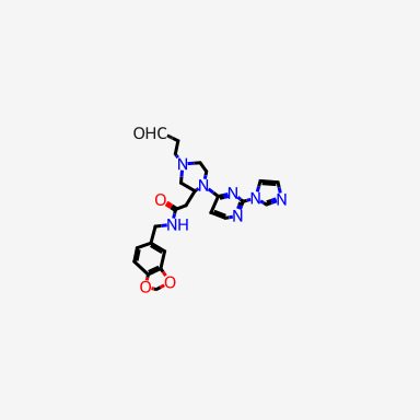 O=CCCN1CCN(c2ccnc(-n3ccnc3)n2)C(CC(=O)NCc2ccc3c(c2)OCO3)C1